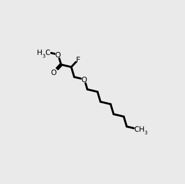 CCCCCCCCOCC(F)C(=O)OC